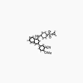 COc1ccc(-c2cc(NC3CCN(S(=O)(=O)C4CC4)CC3)c3cnccc3c2)cc1C#N